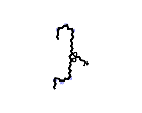 CCC/C=C\C/C=C\C/C=C\CCCCCCCC(CCCCCCC/C=C\C/C=C\C/C=C\CCC)OC(=O)CCCN(C)C